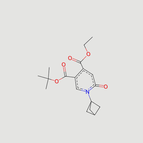 CCOC(=O)c1cc(=O)n(C23CC(C2)C3)cc1C(=O)OC(C)(C)C